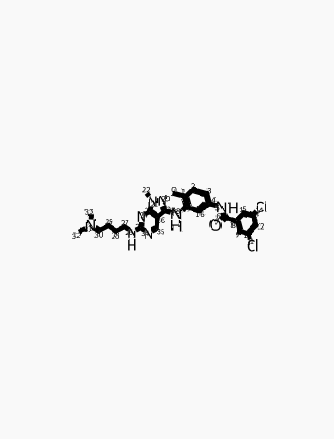 Cc1ccc(NC(=O)c2cc(Cl)cc(Cl)c2)cc1Nc1nn(C)c2nc(NCCCCN(C)C)ncc12